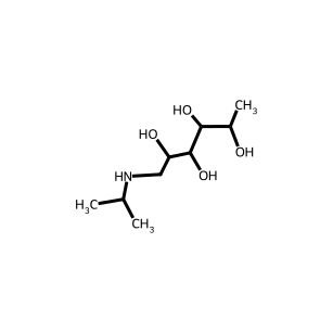 CC(C)NCC(O)C(O)C(O)C(C)O